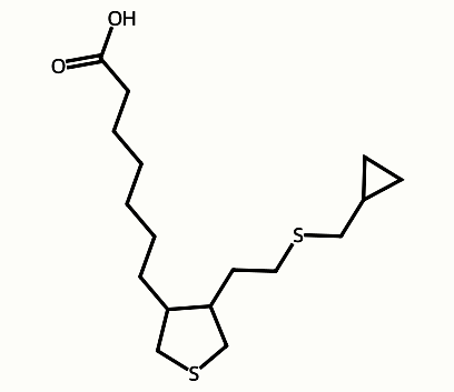 O=C(O)CCCCCCC1CSCC1CCSCC1CC1